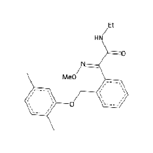 CCNC(=O)/C(=N/OC)c1ccccc1COc1cc(C)ccc1C